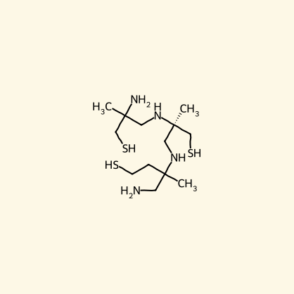 CC(N)(CS)CN[C@@](C)(CS)CNC(C)(CN)CCS